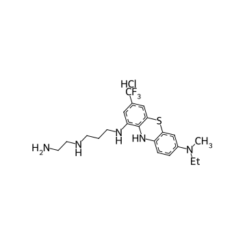 CCN(C)c1ccc2c(c1)Sc1cc(C(F)(F)F)cc(NCCCNCCN)c1N2.Cl